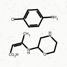 C/C(=C/C(=O)O)NC1CNCCO1.Nc1ccc(Cl)cc1